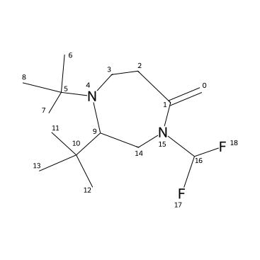 C=C1CCN(C(C)(C)C)C(C(C)(C)C)CN1C(F)F